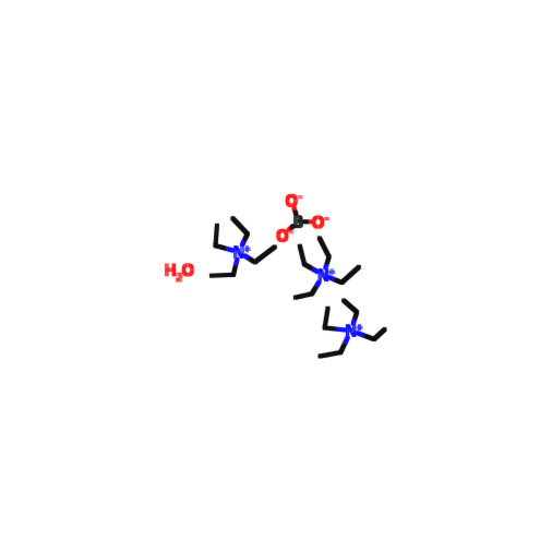 CC[N+](CC)(CC)CC.CC[N+](CC)(CC)CC.CC[N+](CC)(CC)CC.O.[O-]B([O-])[O-]